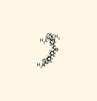 CC1COCC(C)N1c1ccc(C=CC(=O)c2ccc(-c3ccc(OC(N)=O)cc3)cc2)cn1